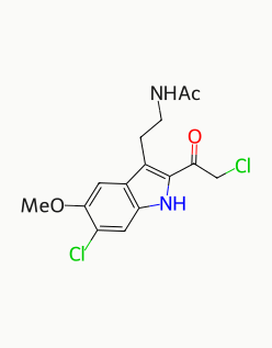 COc1cc2c(CCNC(C)=O)c(C(=O)CCl)[nH]c2cc1Cl